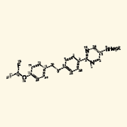 CCCCCCCc1cnc(-c2ccc(CCc3ccc(OC(F)F)cc3)cc2)nc1